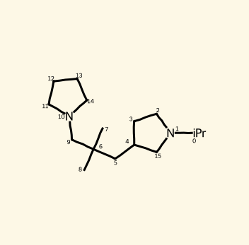 CC(C)N1CCC(CC(C)(C)CN2CCCC2)C1